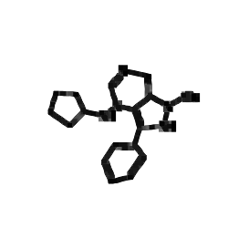 CC(C)(C)N1NC(c2ccccc2)=C2C1=CN=CN2NC1CCCC1